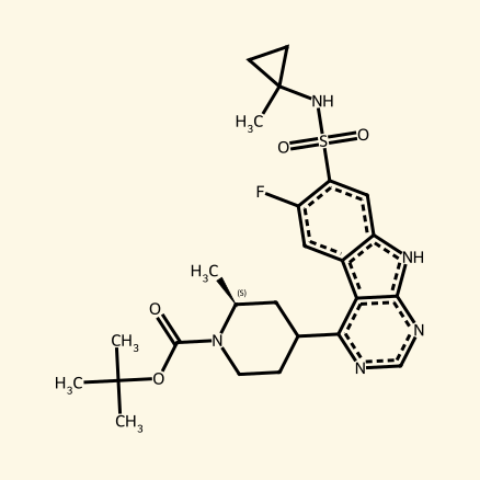 C[C@H]1CC(c2ncnc3[nH]c4cc(S(=O)(=O)NC5(C)CC5)c(F)cc4c23)CCN1C(=O)OC(C)(C)C